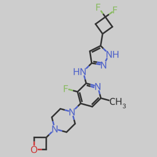 Cc1cc(N2CCN(C3COC3)CC2)c(F)c(Nc2cc(C3CC(F)(F)C3)[nH]n2)n1